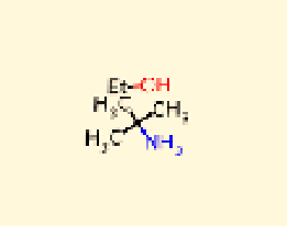 CC(C)(C)N.CCO